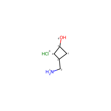 Cl.NCC1CC(O)C1